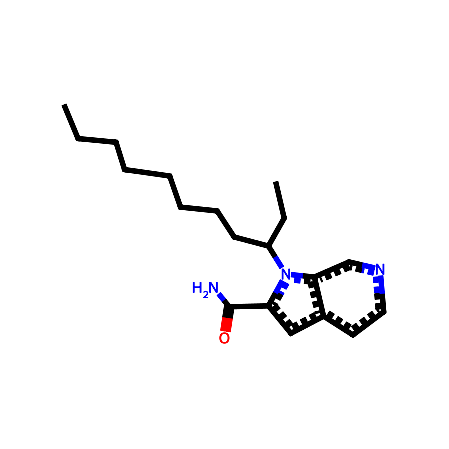 CCCCCCCCC(CC)n1c(C(N)=O)cc2ccncc21